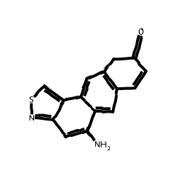 Nc1cc2nscc2c2cc3c(cc12)C=CC(=O)C3